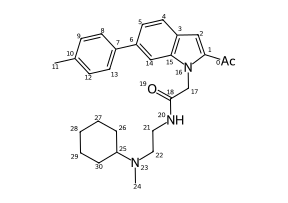 CC(=O)c1cc2ccc(-c3ccc(C)cc3)cc2n1CC(=O)NCCN(C)C1CCCCC1